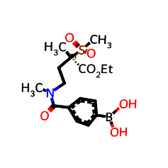 CCOC(=O)[C@@](C)(CCN(C)C(=O)c1ccc(B(O)O)cc1)S(C)(=O)=O